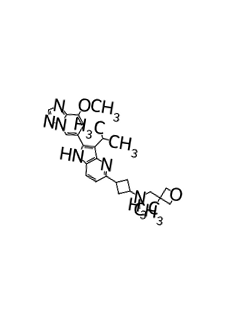 COc1cc(-c2[nH]c3ccc(C4CC(N(C)CC5(C)COC5)C4)nc3c2C(C)C)cn2ncnc12